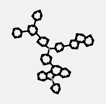 c1ccc(-c2cc(-c3ccccc3)cc(-c3ccc(N(c4ccc(-c5ccc6c(ccc7ccccc76)c5)cc4)c4cccc(-c5cc6ccccc6c6c5c5ccccc5n6-c5ccccc5)c4)cc3)c2)cc1